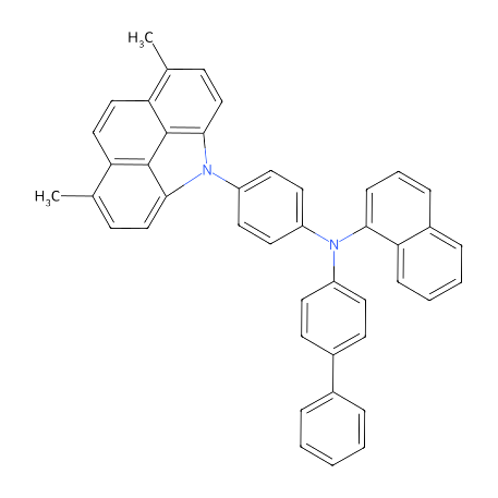 Cc1ccc2c3c1ccc1c(C)ccc(c13)n2-c1ccc(N(c2ccc(-c3ccccc3)cc2)c2cccc3ccccc23)cc1